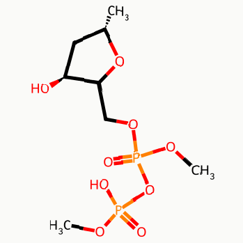 COP(=O)(O)OP(=O)(OC)OCC1O[C@@H](C)C[C@@H]1O